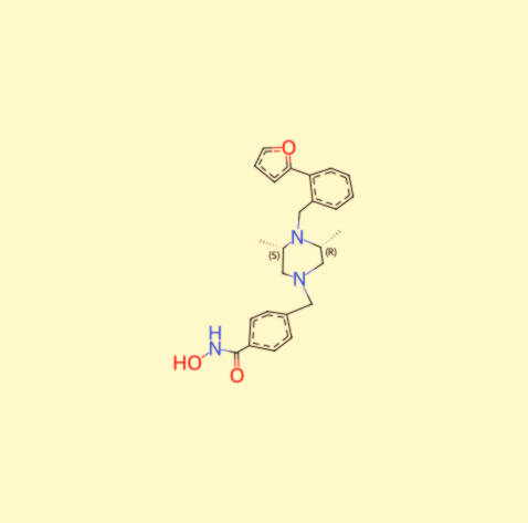 C[C@@H]1CN(Cc2ccc(C(=O)NO)cc2)C[C@H](C)N1Cc1ccccc1-c1ccco1